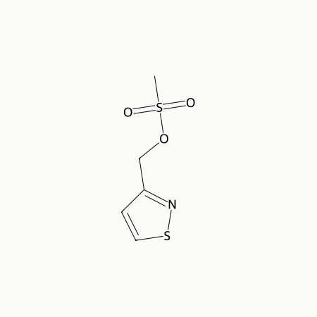 CS(=O)(=O)OCc1ccsn1